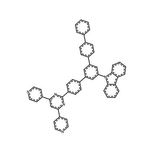 c1ccc(-c2ccc(-c3cc(-c4ccc(-c5nc(-c6ccncc6)cc(-c6ccncc6)n5)cc4)cc(-n4c5ccccc5c5ccccc54)c3)cc2)cc1